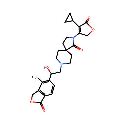 Cc1c([C@@H](O)CN2CCC3(CC2)CCN(C2=C(C4CC4)C(=O)OC2)C3=O)ccc2c1COC2=O